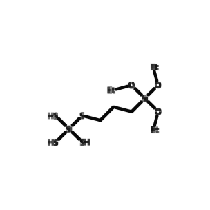 CCO[Si](CCCS[Si](S)(S)S)(OCC)OCC